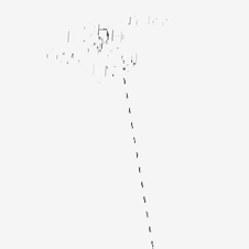 CC#CC#CC#CC#CC#CC#CC#CC#CC#CC#CC#CC#CC(=O)C(N)[C@@H](CO[C@H]1OC(COC)[C@H](O)[C@H](O)C1O)[C@H](O)[C@H](O)CCCCCCCCCCCCCC